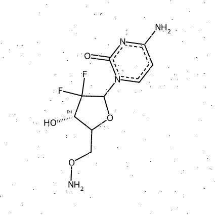 NOCC1OC(n2ccc(N)nc2=O)C(F)(F)[C@H]1O